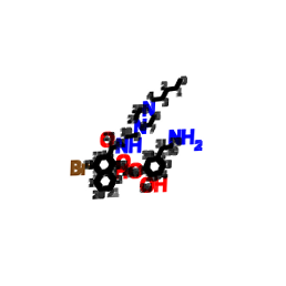 CCCCCN1CCN(CCNC(=O)c2cc(Br)c3ccccc3c2OC)CC1.NCCc1ccc(O)c(O)c1